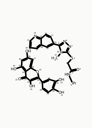 CC(C)NC(=O)CSc1nnc(-c2ccc3ncccc3c2)n1C.O=c1c(O)c(-c2ccc(O)c(O)c2)oc2cc(O)cc(O)c12